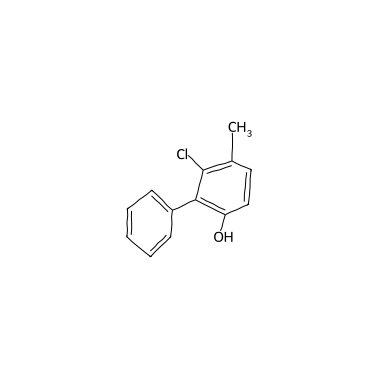 Cc1ccc(O)c(-c2ccccc2)c1Cl